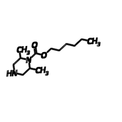 CCCCCCOC(=O)N1C(C)CNCC1C